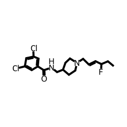 CCC(F)/C=C/CN1CCC(CNC(=O)c2cc(Cl)cc(Cl)c2)CC1